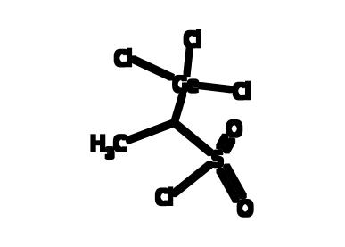 C[CH](S(=O)(=O)Cl)[Ge]([Cl])([Cl])[Cl]